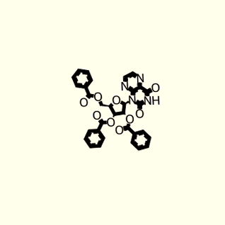 O=C(OC[C@H]1O[C@@H](n2c(=O)[nH]c(=O)c3nccnc32)[C@H](OC(=O)c2ccccc2)[C@@H]1OC(=O)c1ccccc1)c1ccccc1